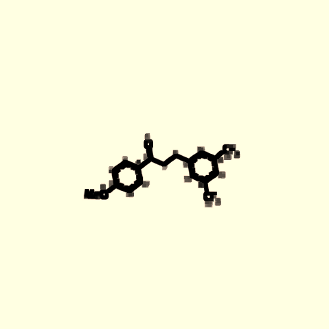 COc1ccc(C(=O)CCc2cc(C(F)(F)F)cc(C(F)(F)F)c2)cc1